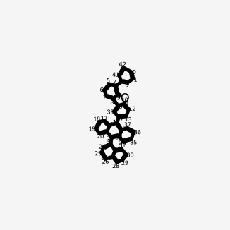 c1ccc(-c2cccc3c2oc2ccc(-c4c5ccccc5c(-c5cccc6ccccc56)c5ccccc45)cc23)cc1